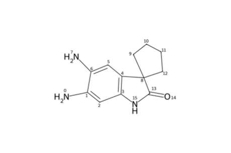 Nc1cc2c(cc1N)C1(CCCC1)C(=O)N2